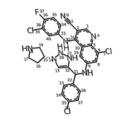 N#Cc1cnc2c(Cl)cc(NC(C3=CN([C@@H]4CCNC4)NN3)c3ccc(Cl)cc3)cc2c1Nc1ccc(F)c(Cl)c1